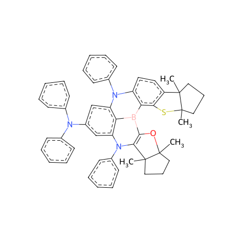 CC12CCCC1(C)C1=C(O2)B2c3c(cc(N(c4ccccc4)c4ccccc4)cc3N(c3ccccc3)c3ccc4c(c32)SC2(C)CCCC42C)N1c1ccccc1